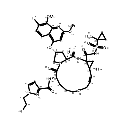 COc1c(F)ccc2c(O[C@@H]3C[C@H]4C(=O)N[C@]5(C(=O)NS(=O)(=O)C6(C)CC6)C[C@H]5C=CCCCCC[C@H](NC(=O)c5ccn(CCF)n5)C(=O)N4C3)cc(OC(C)C)nc12